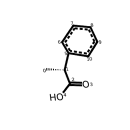 C[C@@H](C(=O)O)c1ccccc1